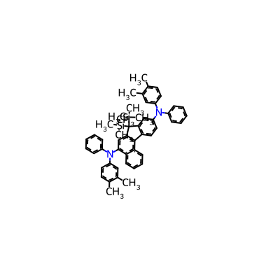 Cc1ccc(N(c2ccccc2)c2ccc3c(c2)C([Si](C)(C)C)([Si](C)(C)C)c2cc(N(c4ccccc4)c4ccc(C)c(C)c4)c4ccccc4c2-3)cc1C